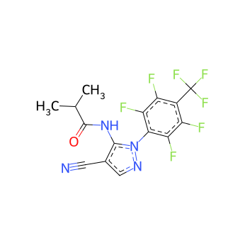 CC(C)C(=O)Nc1c(C#N)cnn1-c1c(F)c(F)c(C(F)(F)F)c(F)c1F